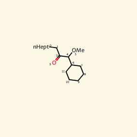 CCCCCCCCC(=O)C(OC)C1CCCCC1